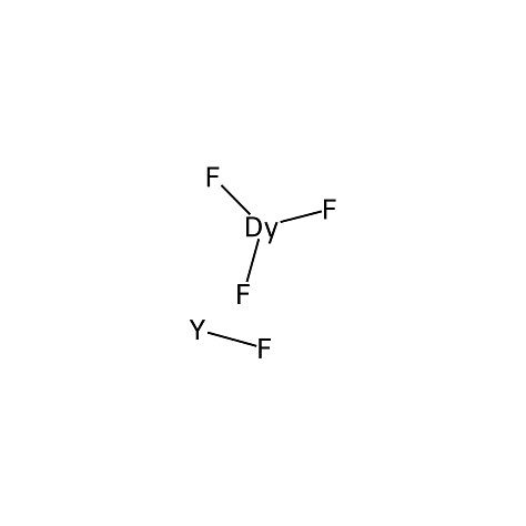 [F][Dy]([F])[F].[F][Y]